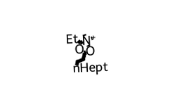 CCCCCCCCCC(=O)OC(CC)[N+](C)(C)C